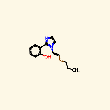 CCCSC=Cn1ccnc1-c1ccccc1O